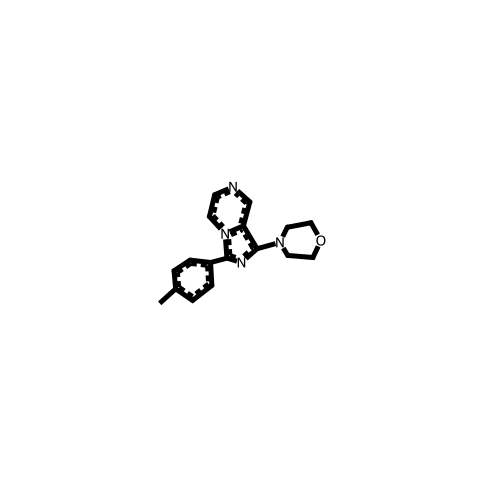 Cc1ccc(-c2nc(N3CCOCC3)c3cnccn23)cc1